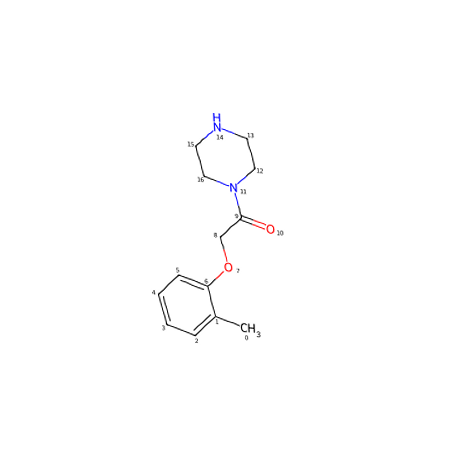 Cc1ccccc1OCC(=O)N1CCNCC1